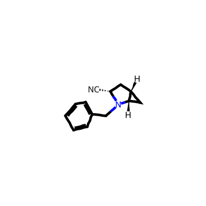 N#C[C@@H]1C[C@@H]2C[C@@H]2N1Cc1ccccc1